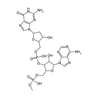 COP(=O)(O)OCC1OC(n2cnc3c(N)ncnc32)C(O)C1OP(=O)(O)OCC1OC(n2cnc3c(=O)[nH]c(N)nc32)CC1O